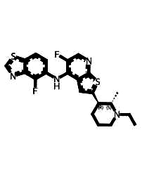 CCN1CCC[C@@H](c2cc3c(Nc4ccc5scnc5c4F)c(F)cnc3s2)[C@@H]1C